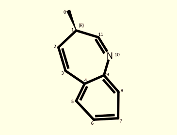 C[C@@H]1C=Cc2ccccc2N=C1